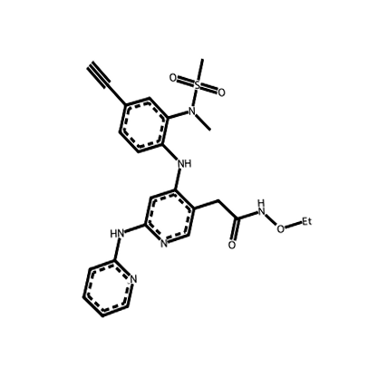 C#Cc1ccc(Nc2cc(Nc3ccccn3)ncc2CC(=O)NOCC)c(N(C)S(C)(=O)=O)c1